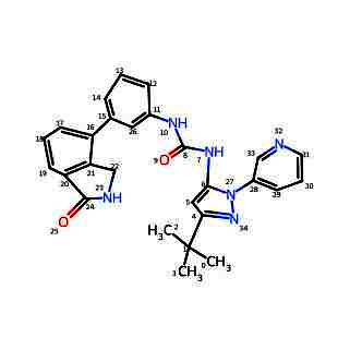 CC(C)(C)c1cc(NC(=O)Nc2cccc(-c3cccc4c3CNC4=O)c2)n(-c2cccnc2)n1